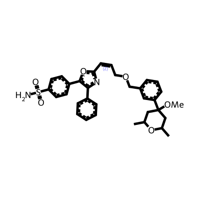 COC1(c2cccc(COC/C=C\c3nc(-c4ccccc4)c(-c4ccc(S(N)(=O)=O)cc4)o3)c2)CC(C)OC(C)C1